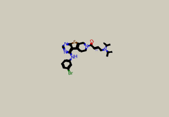 CC(C)N(C/C=C/C(=O)N1CCc2c(sc3ncnc(Nc4cccc(Br)c4)c23)C1)C(C)C